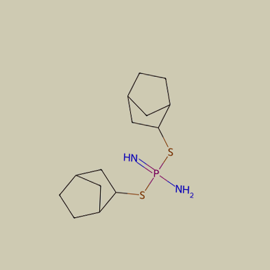 N=P(N)(SC1CC2CCC1C2)SC1CC2CCC1C2